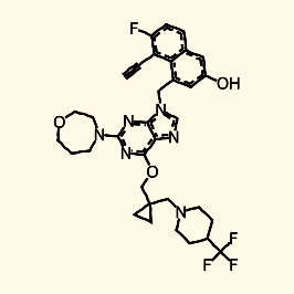 C#Cc1c(F)ccc2cc(O)cc(Cn3cnc4c(OCC5(CN6CCC(C(F)(F)F)CC6)CC5)nc(N5CCCOCC5)nc43)c12